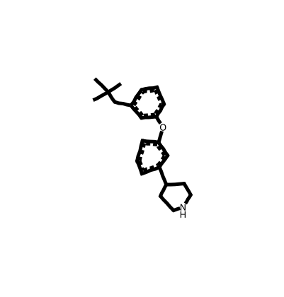 CC(C)(C)Cc1cccc(Oc2cccc(C3CCNCC3)c2)c1